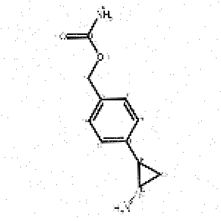 NC(=O)OCc1ccc(C2C[C@@H]2N)cc1